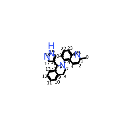 Cc1ccc2c(N3CCc4ccccc4C3c3cn[nH]c3)cccc2n1